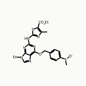 CCOC(=O)c1sc(Nc2nc(OCc3ccc([S+](C)[O-])cc3)c3ncn(CC)c3n2)nc1C